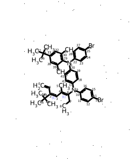 C=C/C(=C\C(C)=C(/CC)N(c1ccc(Br)cc1)c1ccc(N(c2ccc(Br)cc2)c2c(C)cc(C(C)(C)C)cc2C)cc1)C(C)(C)C